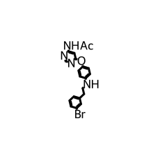 CC(=O)Nc1cc(Oc2ccc(NCCc3cccc(Br)c3)cc2)ncn1